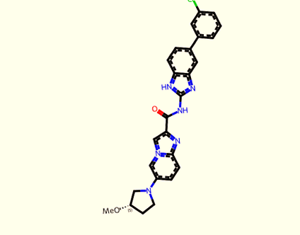 CO[C@H]1CCN(c2ccc3nc(C(=O)Nc4nc5cc(-c6cccc(Cl)c6)ccc5[nH]4)cn3c2)C1